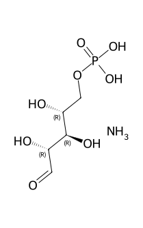 N.O=C[C@H](O)[C@H](O)[C@H](O)COP(=O)(O)O